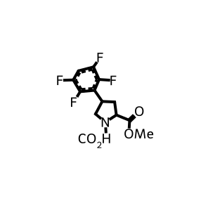 COC(=O)C1CC(c2c(F)c(F)cc(F)c2F)CN1C(=O)O